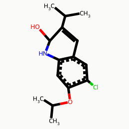 CC(C)Oc1cc2c(cc1Cl)C=C(C(C)C)C(O)N2